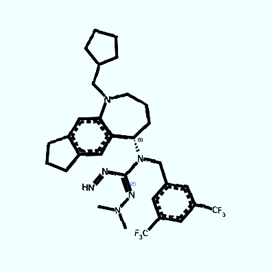 CN(C)/N=C(\N=N)N(Cc1cc(C(F)(F)F)cc(C(F)(F)F)c1)[C@H]1CCCN(CC2CCCC2)c2cc3c(cc21)CCC3